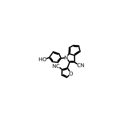 N#Cc1ccoc1-c1c(C#N)c2ccccc2n1-c1ccc(O)cc1